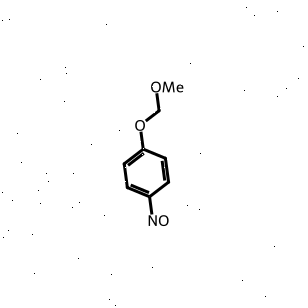 COCOc1ccc(N=O)cc1